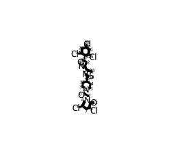 O=C(Cn1cc(Cl)cc(Cl)c1=O)N1CCC(c2nc(C3=NO[C@@H](c4c(Cl)cc(Cl)cc4Cl)C3)cs2)CC1